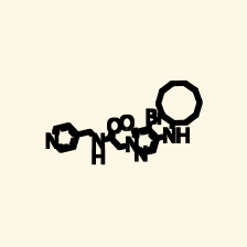 O=C(Cn1ncc(NC2CCCCCCCCC2)c(Br)c1=O)NCc1ccncc1